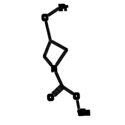 CC(C)OC1CN(C(=O)OC(C)(C)C)C1